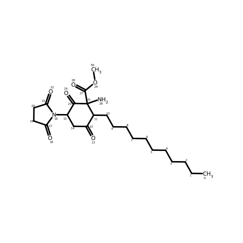 CCCCCCCCCCCC1C(=O)CC(N2C(=O)CCC2=O)C(=O)C1(N)C(=O)OC